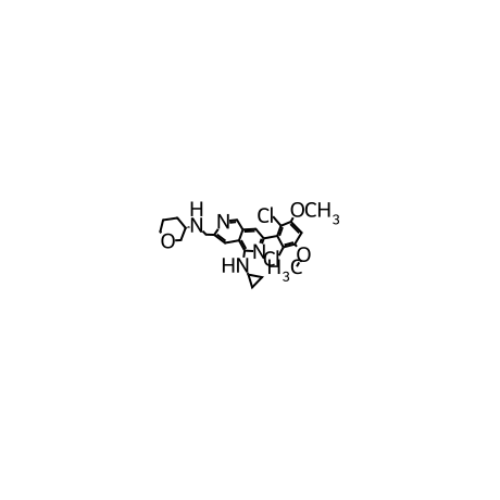 COc1cc(OC)c(Cl)c(-c2cc3cnc(CN[C@H]4CCCOC4)cc3c(NC3CC3)n2)c1Cl